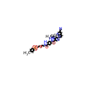 Cc1ccc(S(=O)(=O)OCCOCCNC(=O)C2CCC(NC(=O)c3cnc(-n4ccc5cc(C#N)cnc54)cc3NC(C)C)CC2)cc1